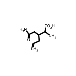 C=CCC(CC(N)=O)C(N)C(=O)O